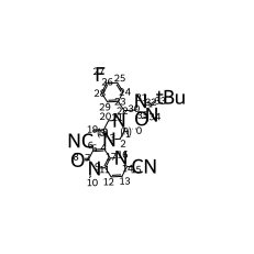 C[C@@H]1CN(c2c(C#N)c(=O)n(C)c3ccc(C#N)nc23)[C@@H](C)CN1C(c1ccc(F)cc1)c1nc(C(C)(C)C)no1